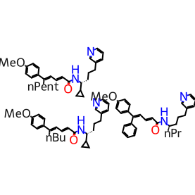 CCCC/C(=C\C=C\C(=O)N[C@H](CCCc1cccnc1)C1CC1)c1ccc(OC)cc1.CCCCC/C(=C\C=C\C(=O)N[C@H](CCCc1cccnc1)C1CC1)c1ccc(OC)cc1.CCC[C@H](CCCc1cccnc1)NC(=O)/C=C/C=C(\c1ccccc1)c1ccc(OC)cc1